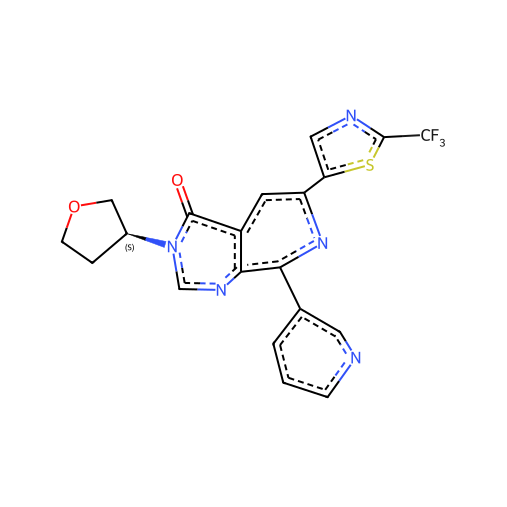 O=c1c2cc(-c3cnc(C(F)(F)F)s3)nc(-c3cccnc3)c2ncn1[C@H]1CCOC1